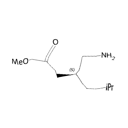 COC(=O)C[C@@H](CN)CC(C)C